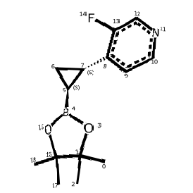 CC1(C)OB([C@H]2C[C@@H]2c2ccncc2F)OC1(C)C